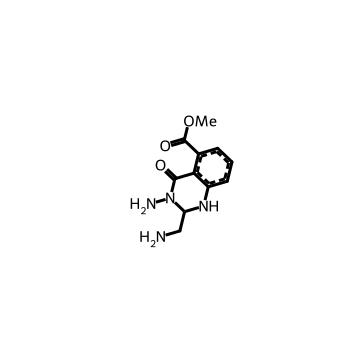 COC(=O)c1cccc2c1C(=O)N(N)C(CN)N2